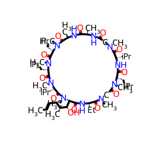 C/C=C/C[C@@H](C)[C@@H](O)[C@H]1C(=O)N[C@@H](CC)C(=O)N(C)CC(=O)N(C)[C@@H](CC(C)C)C(=O)N[C@@H](C(C)C)C(=O)N(C)CC(=O)N[C@@H](C)C(=O)N[C@H](C)C(=O)N(C)[C@@H](CC(C)C)C(=O)N(C)[C@@H](CC(C)C)C(=O)N(C)[C@@H](C(C)C)C(=O)N1C